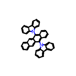 c1ccc2cc3c(-n4c5ccccc5c5ccccc54)c4ccccc4c(-n4c5ccccc5c5ccccc54)c3cc2c1